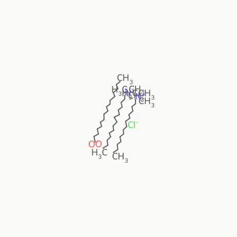 CCCCCCCCCCCCCCCCCC(=O)[O-].CCCCCCCCCCCCCCCC[N+](C)(C)C.CCCCCCCCCCCCCCCC[N+](C)(C)C.[Cl-]